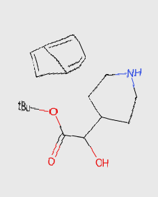 CC(C)(C)OC(=O)C(O)C1CCNCC1.c1cc2ccc1-2